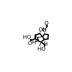 C[C@@]1(CO)[C@H]2C[C@@]3([C@@H](O)C=C2C(=O)O)[C@H](OC=O)CC[C@@H]13